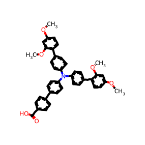 COc1ccc(-c2ccc(N(c3ccc(-c4ccc(C(=O)O)cc4)cc3)c3ccc(-c4ccc(OC)cc4OC)cc3)cc2)c(OC)c1